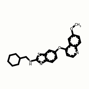 COc1ccc2nccc(Oc3ccc4nc(NCC5CCCCC5)sc4c3)c2c1